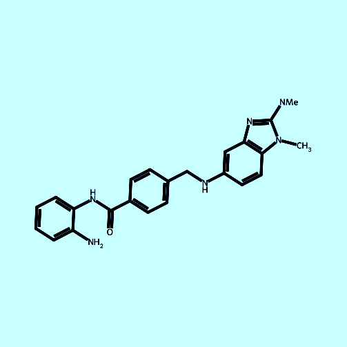 CNc1nc2cc(NCc3ccc(C(=O)Nc4ccccc4N)cc3)ccc2n1C